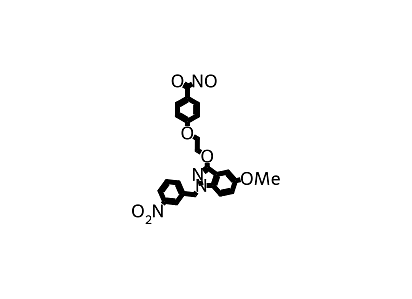 COc1ccc2c(c1)c(OCCOc1ccc(C(=O)N=O)cc1)nn2Cc1cccc([N+](=O)[O-])c1